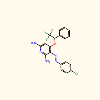 Nc1cc(OC(c2ccccc2)C(F)(F)F)c(/N=N/c2ccc(Cl)cc2)c(N)n1